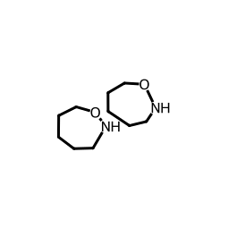 C1CCNOCC1.C1CCNOCC1